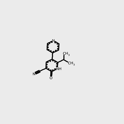 CC(C)c1[nH]c(=O)c(C#N)cc1-c1ccncc1